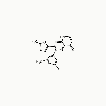 Cc1cc(-c2nc3c(=O)cc[nH]c3nc2-c2ccc(C)o2)cc(Cl)n1